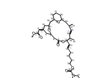 COC(=O)/C=C1\CC2CC(=O)OC(/C=C/CCCCOC(=O)N3CCCCC3)C(C)/C=C/C(C)CC3CCCC(CC(C1)O2)O3